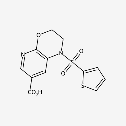 O=C(O)c1cnc2c(c1)N(S(=O)(=O)c1cccs1)CCO2